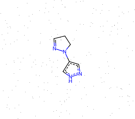 C1=NN(c2cn[nH]c2)CC1